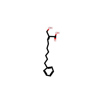 O=C(O)C(=CCCCCCCc1ccccc1)CO